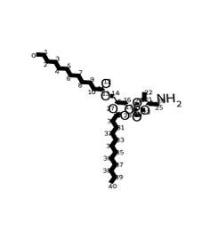 CCCCCCCCCCCC(=O)OC[C@H](COP(=O)(OCC)OCCN)OC(=O)CCCCCCCCCCC